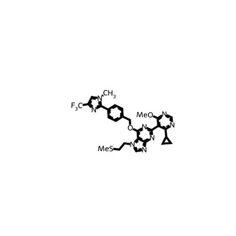 COc1ncnc(C2CC2)c1-c1nc(OCc2ccc(-c3nc(C(F)(F)F)cn3C)cc2)c2c(ncn2CCSC)n1